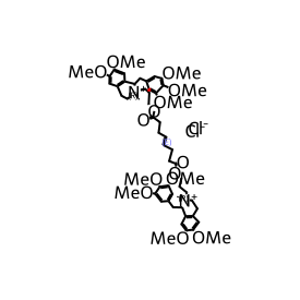 COc1cc2c(cc1OC)C(Cc1cc(OC)c(OC)c(OC)c1)[N@@+](C)(CCCOC(=O)CC/C=C/CCC(=O)OCCC[N@@+]1(C)CCc3cc(OC)c(OC)cc3C1Cc1cc(OC)c(OC)c(OC)c1)CC2.[Cl-].[Cl-]